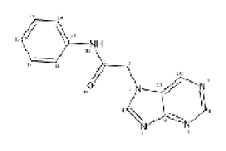 O=C(Cn1cnc2ncncc21)Nc1ccccc1